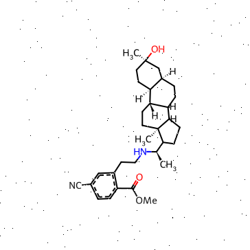 COC(=O)c1ccc(C#N)cc1CCN[C@H](C)C1CC[C@H]2[C@@H]3CC[C@@H]4C[C@](C)(O)CC[C@@H]4[C@H]3CC[C@]12C